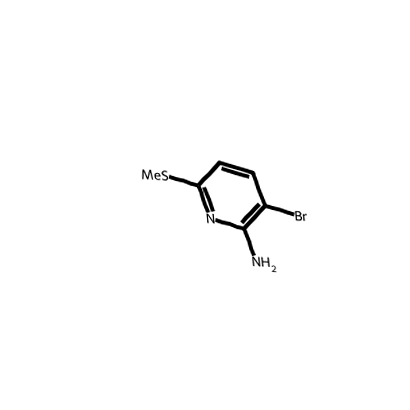 CSc1ccc(Br)c(N)n1